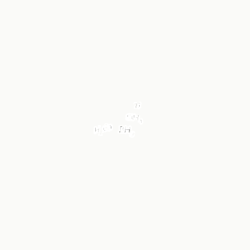 B.[CaH2].[SiH4].[Ti]